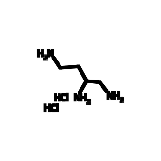 Cl.Cl.NCCC(N)CN